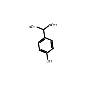 CCCCCCCCC(CCCCCCCC)c1ccc(O)cc1